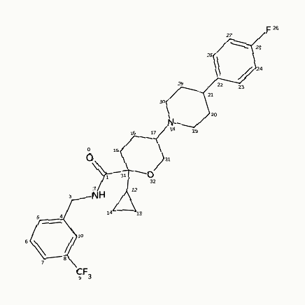 O=C(NCc1cccc(C(F)(F)F)c1)C1(C2CC2)CCC(N2CCC(c3ccc(F)cc3)CC2)CO1